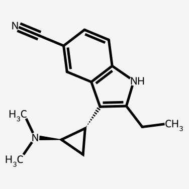 CCc1[nH]c2ccc(C#N)cc2c1[C@@H]1C[C@H]1N(C)C